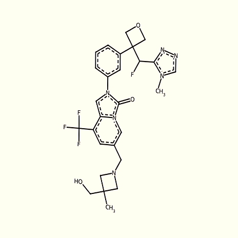 Cn1cnnc1C(F)C1(c2cccc(-n3cc4c(C(F)(F)F)cc(CN5CC(C)(CO)C5)cn4c3=O)c2)COC1